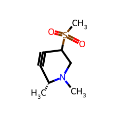 C[C@@H]1C#CC(S(C)(=O)=O)CN1C